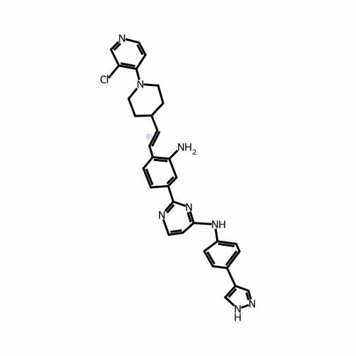 Nc1cc(-c2nccc(Nc3ccc(-c4cn[nH]c4)cc3)n2)ccc1/C=C/C1CCN(c2ccncc2Cl)CC1